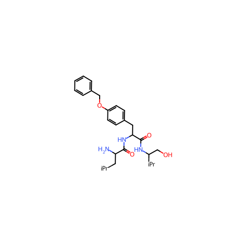 CC(C)CC(N)C(=O)NC(Cc1ccc(OCc2ccccc2)cc1)C(=O)NC(CO)C(C)C